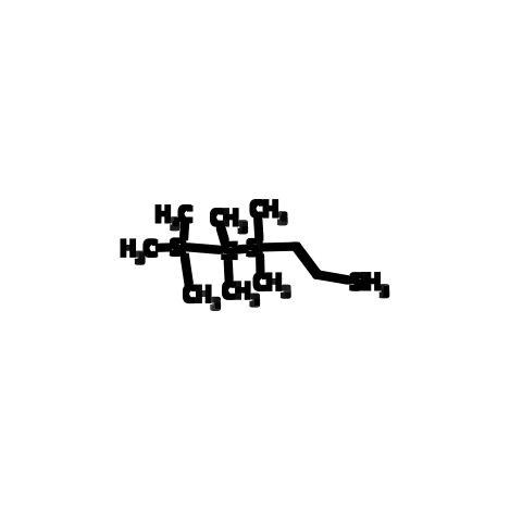 C[Si](C)(C)[Si](C)(C)[Si](C)(C)CC[SiH3]